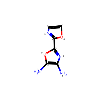 Nc1nc(-c2ncco2)oc1N